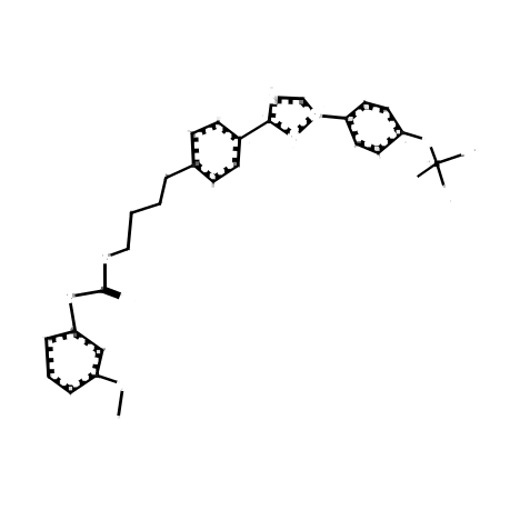 COc1cccc(NC(=O)NCCCCc2ccc(-c3ncn(-c4ccc(OC(F)(F)F)cc4)n3)cc2)c1